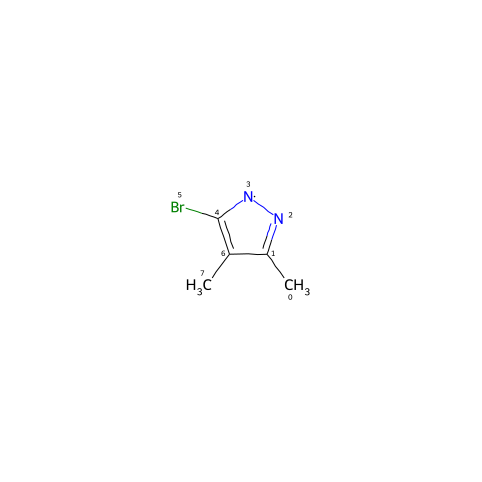 CC1=N[N]C(Br)=C1C